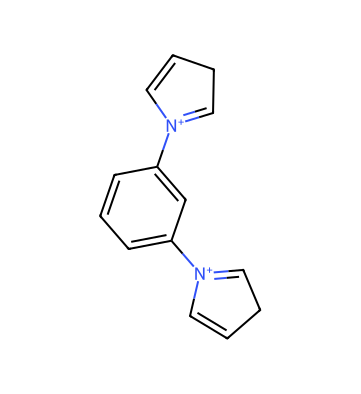 C1=C[N+](c2cccc([N+]3=CCC=C3)c2)=CC1